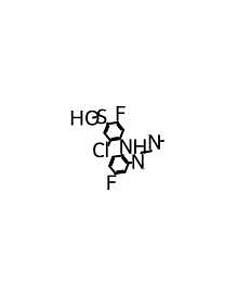 CN(C)CCN(C)c1cc(F)ccc1Nc1cc(F)c(SO)cc1Cl